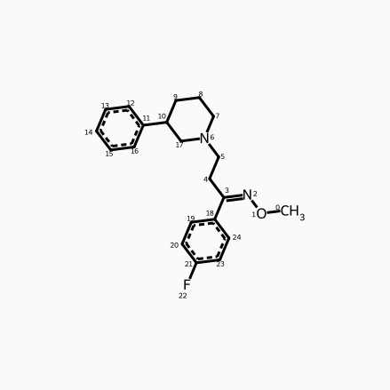 CON=C(CCN1CCCC(c2ccccc2)C1)c1ccc(F)cc1